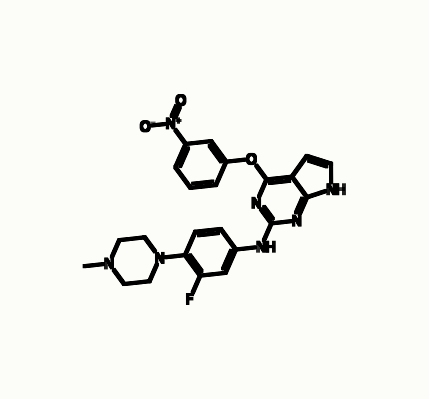 CN1CCN(c2ccc(Nc3nc(Oc4cccc([N+](=O)[O-])c4)c4cc[nH]c4n3)cc2F)CC1